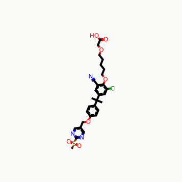 CC(C)(c1ccc(OCc2cnc(S(C)(=O)=O)nc2)cc1)c1cc(Cl)c(OCCCCCOCC(=O)O)c(C#N)c1